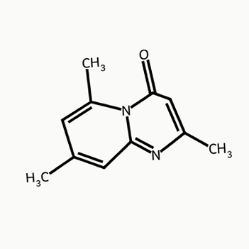 Cc1cc(C)n2c(=O)cc(C)nc2c1